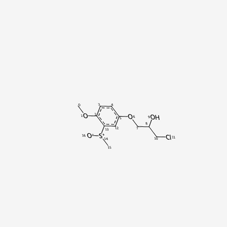 COc1ccc(OCC(O)CCl)cc1[S+](C)[O-]